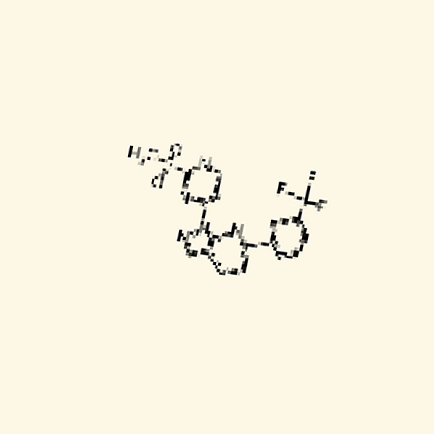 CS(=O)(=O)c1nccc(-n2ncc3ccc(-c4cccc(C(F)(F)F)c4)nc32)n1